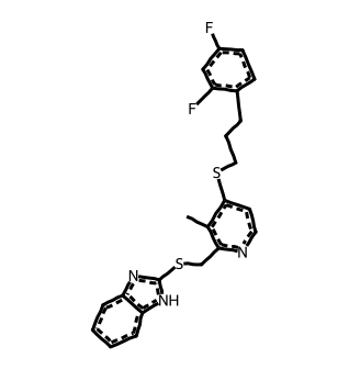 Cc1c(SCCCc2ccc(F)cc2F)ccnc1CSc1nc2ccccc2[nH]1